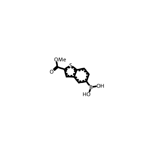 COC(=O)c1cc2cc(B(O)O)ccc2s1